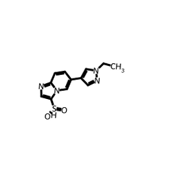 CCn1cc(-c2ccc3ncc([SH](=O)=O)n3c2)cn1